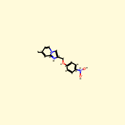 Cc1ccn2cc(COc3ccc([N+](=O)[O-])cc3)nc2c1